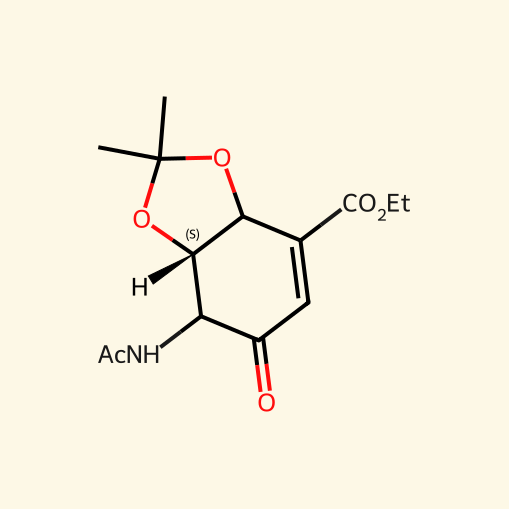 CCOC(=O)C1=CC(=O)C(NC(C)=O)[C@@H]2OC(C)(C)OC12